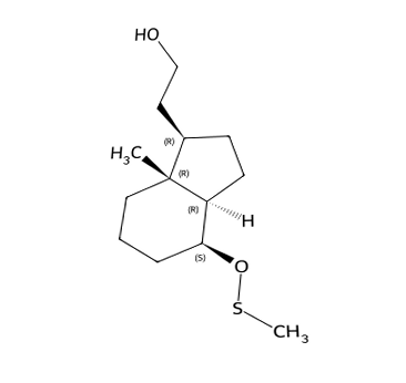 CSO[C@H]1CCC[C@]2(C)[C@@H](CCO)CC[C@@H]12